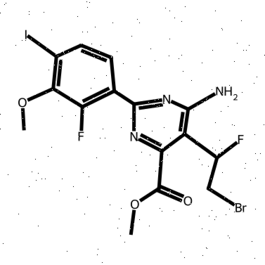 COC(=O)c1nc(-c2ccc(I)c(OC)c2F)nc(N)c1C(F)CBr